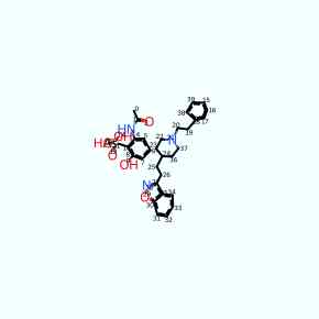 CC(=O)Nc1cccc(O)c1[As](=O)(O)O.c1ccc(CCN2CCC(CCc3noc4ccccc34)CC2)cc1